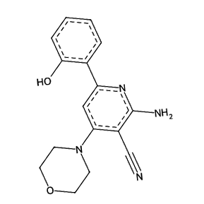 N#Cc1c(N2CCOCC2)cc(-c2ccccc2O)nc1N